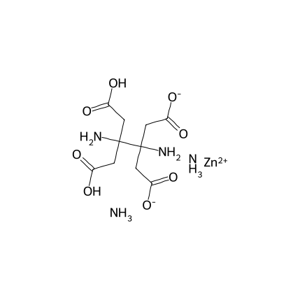 N.N.NC(CC(=O)[O-])(CC(=O)[O-])C(N)(CC(=O)O)CC(=O)O.[Zn+2]